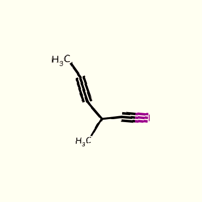 CC#CC(C)C#I